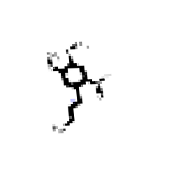 CC/C=C/c1cc(OC)c(OC)cc1[N+](=O)[O-]